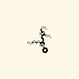 CCc1nc(/C=C/c2cn(-c3ccccc3)nc2OCOC)c(C)s1